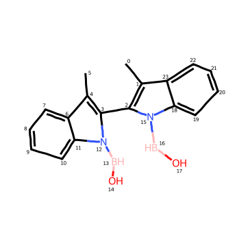 Cc1c(-c2c(C)c3ccccc3n2BO)n(BO)c2ccccc12